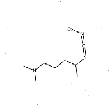 CCN=C=NC(C)CCCN(C)C